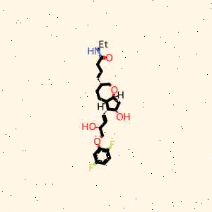 CCNC(=O)CCC[C@H]1CC[C@@H]2[C@@H](C=C[C@@H](O)COc3cc(F)ccc3F)[C@H](O)C[C@@H]2OC1